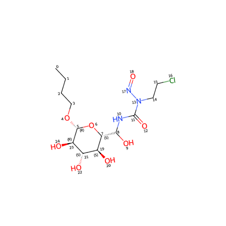 CCCCO[C@@H]1O[C@H](C(O)NC(=O)N(CCCl)N=O)[C@@H](O)[C@H](O)[C@H]1O